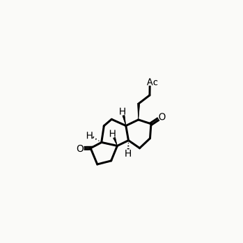 CC(=O)CC[C@H]1C(=O)CC[C@H]2[C@@H]3CCC(=O)[C@H]3CC[C@@H]21